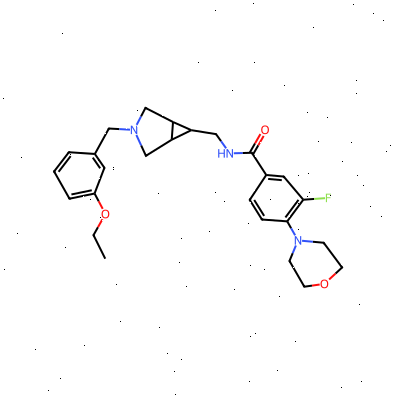 CCOc1cccc(CN2CC3C(CNC(=O)c4ccc(N5CCOCC5)c(F)c4)C3C2)c1